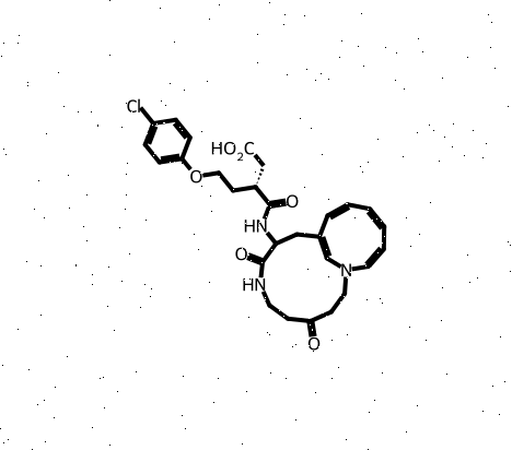 O=C(O)C[C@@H](CCOc1ccc(Cl)cc1)C(=O)NC1Cc2ccccccn(c2)CCC(=O)CCNC1=O